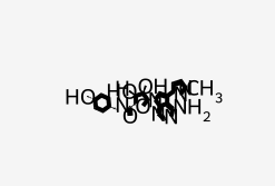 Cn1ccc(-c2cn([C@@H]3O[C@H](C(=O)NC[C@H]4CC[C@@H](O)CC4)[C@@H](O)[C@H]3O)c3ncnc(N)c23)n1